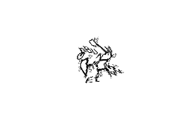 CCCCOC1CCC(N2c3nc(Cl)ncc3-n3cnnc3[C@H]2CC)C1